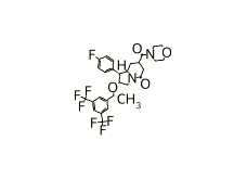 C[C@@H](O[C@H]1CN2C(=O)CC(C(=O)N3CCOCC3)C[C@H]2[C@@H]1c1ccc(F)cc1)c1cc(C(F)(F)F)cc(C(F)(F)F)c1